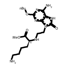 CCCCOc1nc(N)c2[nH]c(=O)n(CCN[C@@H](CCCCN)C(=O)OC)c2n1